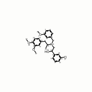 COc1cccc(CN(CC(O)c2cccc(Cl)c2)C(C)Cc2ccc(OC)c(OC)c2)c1